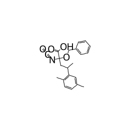 Cc1ccc(C)c(C(C)CC(N=C=O)(OCc2ccccc2)C(=O)O)c1